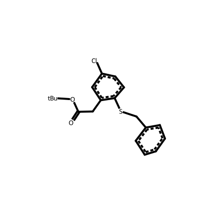 CC(C)(C)OC(=O)Cc1cc(Cl)ccc1SCc1ccccc1